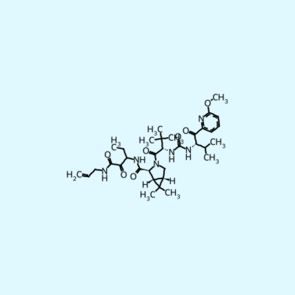 C=CCNC(=O)C(=O)C(CC)NC(=O)[C@@H]1[C@@H]2[C@H](CN1C(=O)[C@@H](NC(=O)N[C@H](C(=O)c1cccc(OC)n1)C(C)C)C(C)(C)C)C2(C)C